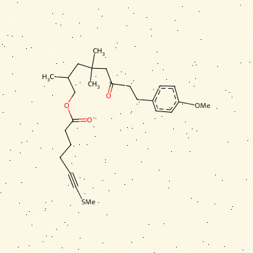 COc1ccc(CCC(=O)CC(C)(C)CC(C)COC(=O)CCCC#CSC)cc1